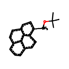 CC(C)(C)O[SiH2]c1ccc2ccc3cccc4ccc1c2c34